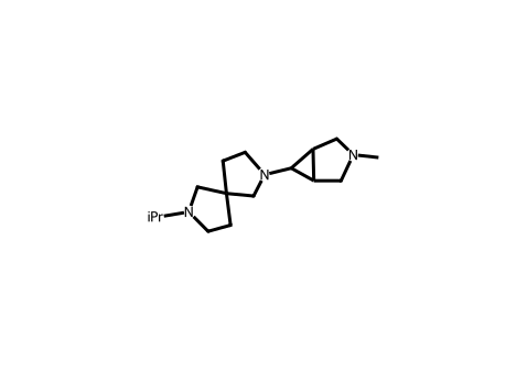 CC(C)N1CCC2(CCN(C3C4CN(C)CC43)C2)C1